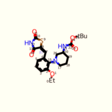 CCOc1cccc(/C=C2/SC(=O)NC2=O)c1N1CCCC(NC(=O)OC(C)(C)C)C1